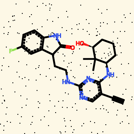 C#Cc1cnc(NCCC2C(=O)Nc3ccc(F)cc32)nc1N[C@@H]1CCC[C@@H](O)C1(C)C